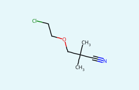 CC(C)(C#N)COCCCl